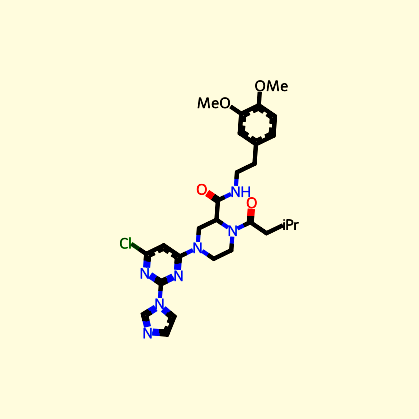 COc1ccc(CCNC(=O)C2CN(c3cc(Cl)nc(-n4ccnc4)n3)CCN2C(=O)CC(C)C)cc1OC